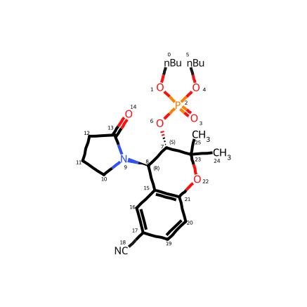 CCCCOP(=O)(OCCCC)O[C@H]1[C@H](N2CCCC2=O)c2cc(C#N)ccc2OC1(C)C